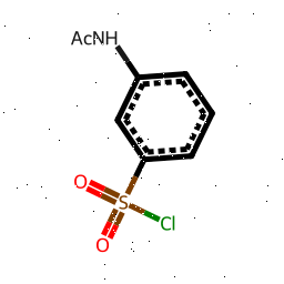 CC(=O)Nc1cccc(S(=O)(=O)Cl)c1